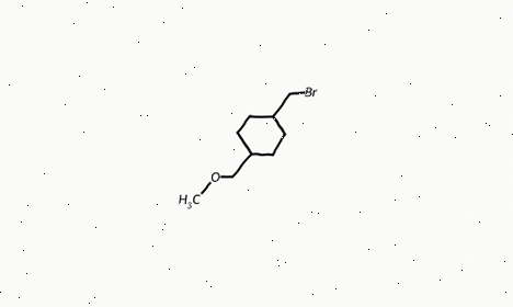 COCC1CCC(CBr)CC1